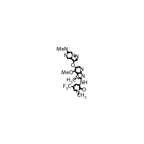 CNc1cn2ncc(Oc3cnc4nc(Nc5cc(C(F)(F)F)cn(C)c5=O)n(C)c4c3OC)c2cn1